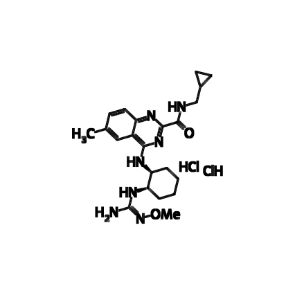 CO/N=C(/N)N[C@@H]1CCCC[C@@H]1Nc1nc(C(=O)NCC2CC2)nc2ccc(C)cc12.Cl.Cl